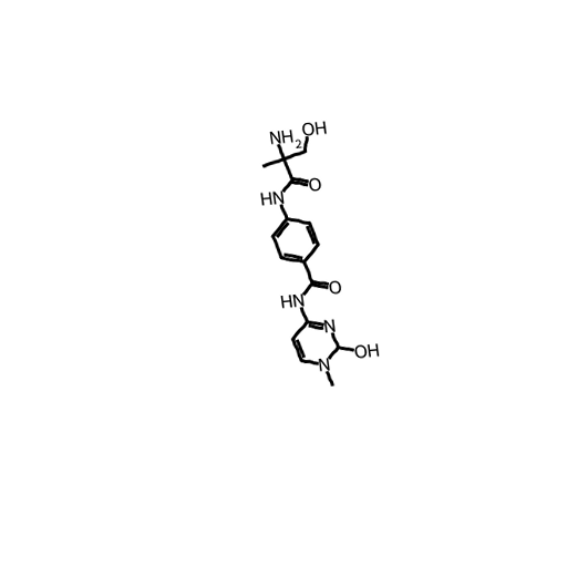 CN1C=CC(NC(=O)c2ccc(NC(=O)C(C)(N)CO)cc2)=NC1O